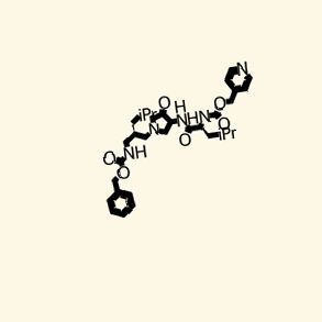 CC(C)C[C@@H](CNC(=O)OCc1ccccc1)CN1CC(=O)C(NC(=O)[C@H](CC(C)C)NC(=O)OCc2ccncc2)C1